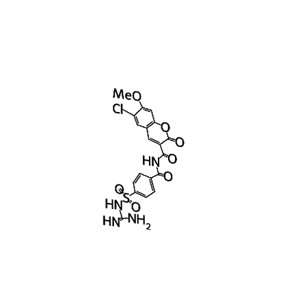 COc1cc2oc(=O)c(C(=O)NC(=O)c3ccc(S(=O)(=O)NC(=N)N)cc3)cc2cc1Cl